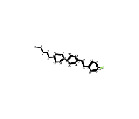 CCCCCc1ccc(-c2ccc(C=Cc3ccc(F)cc3)cc2)cc1